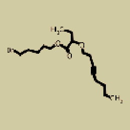 CCCCC#CCCOC(CC)C(=O)OCCCCCBr